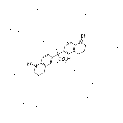 CCN1CCCc2cc(C(C)(C(=O)O)c3ccc4c(c3)CCCN4CC)ccc21